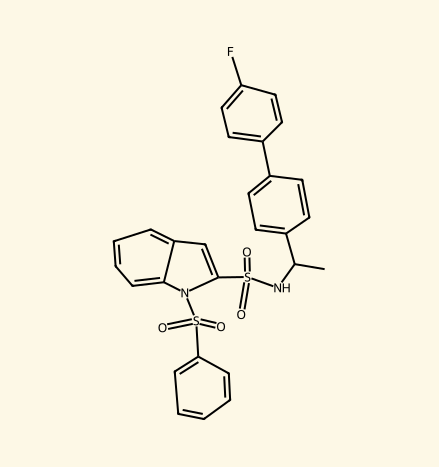 CC(NS(=O)(=O)c1cc2ccccc2n1S(=O)(=O)c1ccccc1)c1ccc(-c2ccc(F)cc2)cc1